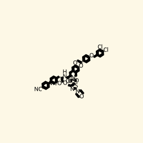 COC(=O)[C@H](Cc1ccc(-c2ccc(C#N)cc2)cc1)NC(=O)C1Cc2cc3c(cc2CN1S(=O)(=O)c1sc(N2CCOCC2)nc1C)O[C@@H](c1ccc(OCc2ccc(Cl)c(Cl)c2)cc1)CO3